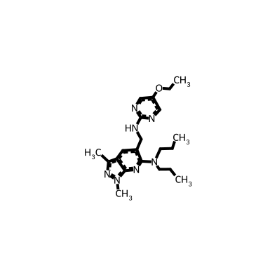 CCCN(CCC)c1nc2c(cc1CNc1ncc(OCC)cn1)c(C)nn2C